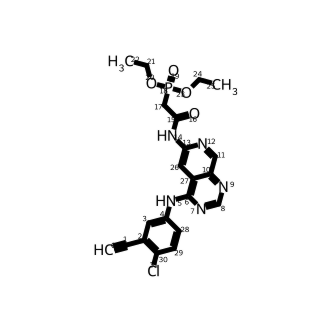 C#Cc1cc(Nc2ncnc3cnc(NC(=O)CP(=O)(OCC)OCC)cc23)ccc1Cl